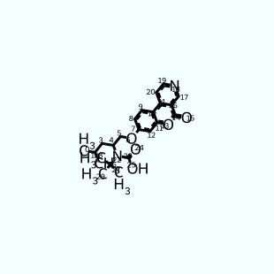 CC(C)CC(COc1ccc2c(c1)oc(=O)c1cnccc12)N(C(=O)O)C(C)(C)C